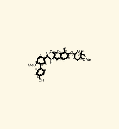 COc1ccc(C(=O)Nc2cc3ccc(OC4CCC(OC)C(C)(C)O4)c(C)c3oc2=O)cc1-c1ccc(O)cc1